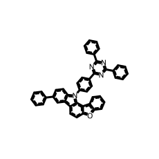 c1ccc(-c2ccc3c(c2)c2ccc4oc5ccccc5c4c2n3-c2ccc(-c3nc(-c4ccccc4)nc(-c4ccccc4)n3)cc2)cc1